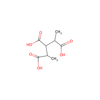 CC(C(=O)O)C(C(=O)O)C(C)C(=O)O